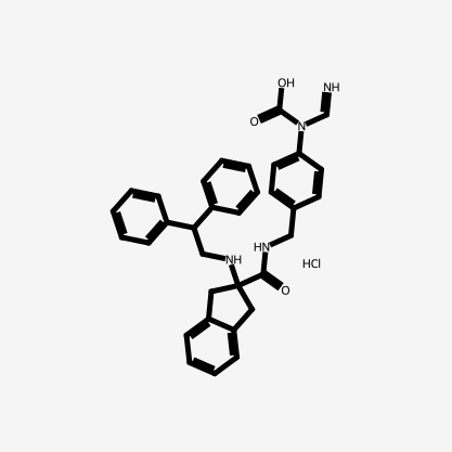 Cl.N=CN(C(=O)O)c1ccc(CNC(=O)C2(NCC(c3ccccc3)c3ccccc3)Cc3ccccc3C2)cc1